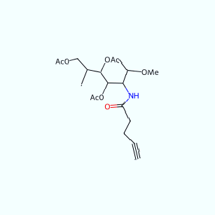 C#CCCC(=O)NC(C(C)OC)C(OC(C)=O)C(OC(C)=O)C(C)COC(C)=O